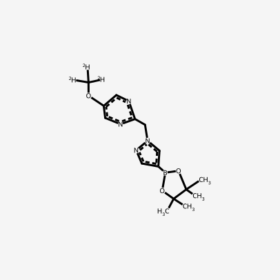 [2H]C([2H])([2H])Oc1cnc(Cn2cc(B3OC(C)(C)C(C)(C)O3)cn2)nc1